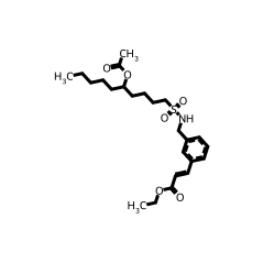 CCCCCC(CCCCS(=O)(=O)NCc1cccc(/C=C/C(=O)OCC)c1)OC(C)=O